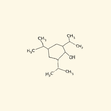 CC(C)C1CC(C(C)C)C(O)C(C(C)C)C1